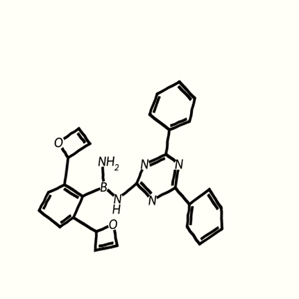 NB(Nc1nc(-c2ccccc2)nc(-c2ccccc2)n1)c1c(C2C=CO2)cccc1C1C=CO1